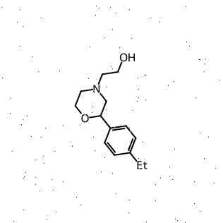 CCc1ccc(C2CN(CCO)CCO2)cc1